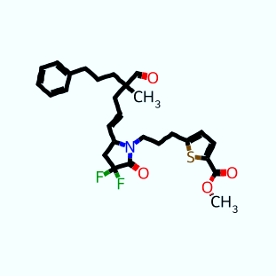 COC(=O)c1ccc(CCCN2C(=O)C(F)(F)CC2/C=C/CC(C)(C=O)CCCc2ccccc2)s1